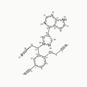 N#CCOc1ccc(C#N)cc1C(CC#N)n1cc(-c2ncnc3[nH]ccc23)cn1